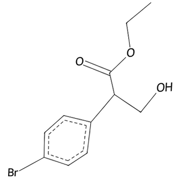 CCOC(=O)C(CO)c1ccc(Br)cc1